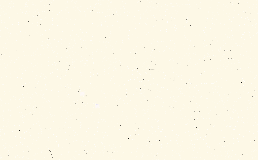 Sc1c#cc2c(c1)C1=C(CCC=C1)C21C2=CC3C/C=C\C=C/CC4=CC=CC(=C2C2C=CC=CC21)C43